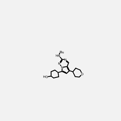 CCC(C)Nc1ncc2c(C3CCOCC3)cc(C3CCC(O)CC3)n2n1